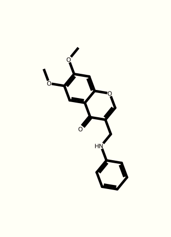 COc1cc2occ(CNc3ccccc3)c(=O)c2cc1OC